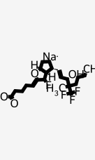 CCCCC(C)([C@H](O)C=C[C@H]1CC[C@@H]2OC(=CCCCC(=O)O)C(F)[C@@H]21)C(F)(F)F.[Na]